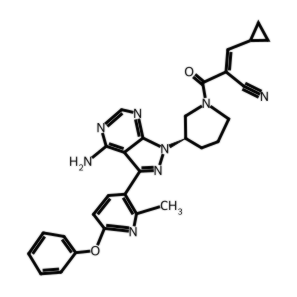 Cc1nc(Oc2ccccc2)ccc1-c1nn([C@@H]2CCCN(C(=O)C(C#N)=CC3CC3)C2)c2ncnc(N)c12